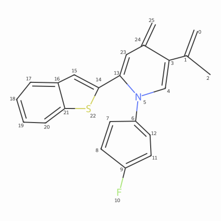 C=C(C)C1=CN(c2ccc(F)cc2)C(c2cc3ccccc3s2)=CC1=C